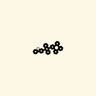 c1ccc2c(c1)-c1ccccc1-c1ccc(-c3c4ccccc4c(-c4ccc5c(c4)oc4ccccc45)c4ccccc34)cc1-c1ccccc1-2